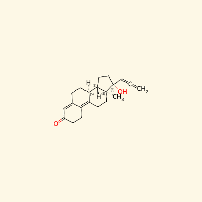 C=C=C[C@]1(O)CC[C@H]2[C@@H]3CCC4=CC(=O)CCC4=C3CC[C@@]21C